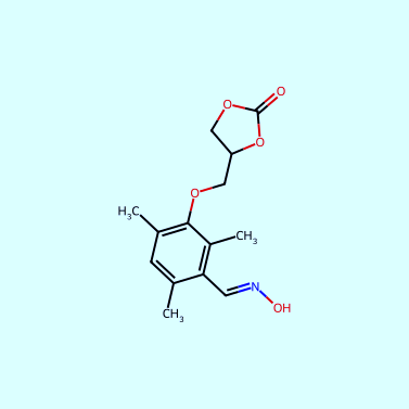 Cc1cc(C)c(OCC2COC(=O)O2)c(C)c1C=NO